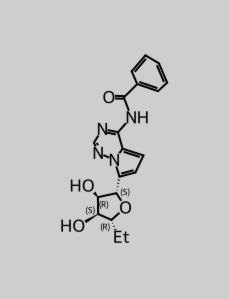 CC[C@H]1O[C@@H](c2ccc3c(NC(=O)c4ccccc4)ncnn23)[C@H](O)[C@@H]1O